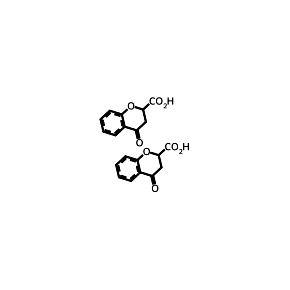 O=C1CC(C(=O)O)Oc2ccccc21.O=C1CC(C(=O)O)Oc2ccccc21